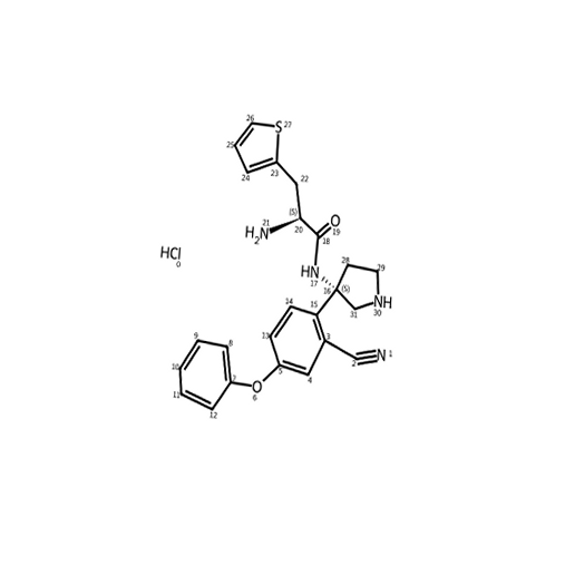 Cl.N#Cc1cc(Oc2ccccc2)ccc1[C@@]1(NC(=O)[C@@H](N)Cc2cccs2)CCNC1